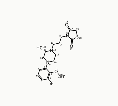 CC(C)Oc1c(F)cccc1N1CCN(CCCN2C(=O)CSC2=O)CC1.Cl